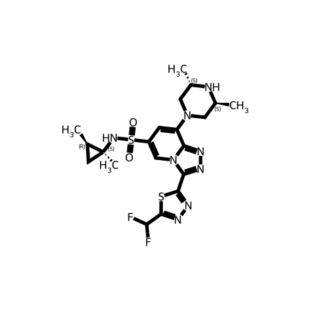 C[C@@H]1C[C@]1(C)NS(=O)(=O)c1cc(N2C[C@H](C)N[C@@H](C)C2)c2nnc(-c3nnc(C(F)F)s3)n2c1